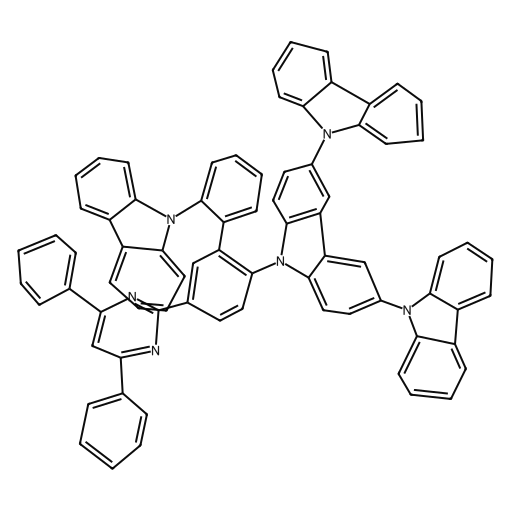 c1ccc(-c2cc(-c3ccccc3)nc(-c3ccc(-n4c5ccc(-n6c7ccccc7c7ccccc76)cc5c5cc(-n6c7ccccc7c7ccccc76)ccc54)c(-c4ccccc4-n4c5ccccc5c5ccccc54)c3)n2)cc1